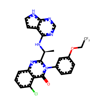 C[C@H](Nc1ncnc2[nH]ccc12)c1nc2cccc(Cl)c2c(=O)n1-c1cccc(OCC(F)(F)F)c1